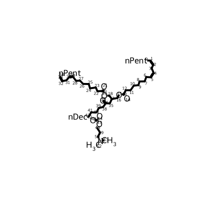 CCCCC/C=C\C/C=C\CCCCCCCC(=O)OCC(COC(=O)CCCCCCC/C=C\C/C=C\CCCCC)CC(=O)CCC(CCCCCCCCCCCC)OC(=O)OCCCN(C)C